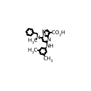 Cc1cc(C)cc(Nc2cc(N(C)Cc3ccccc3)n3ncc(C(=O)O)c3n2)c1